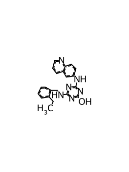 CCc1ccccc1CNc1nc(O)nc(Nc2ccc3ncccc3c2)n1